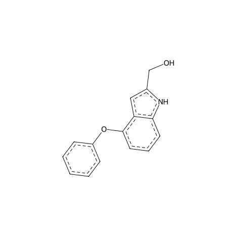 OCc1cc2c(Oc3ccccc3)cccc2[nH]1